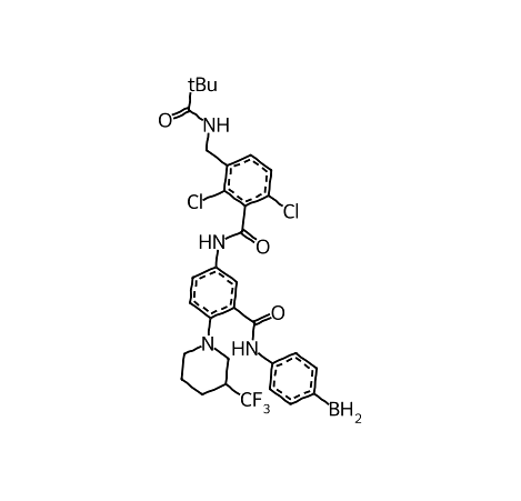 Bc1ccc(NC(=O)c2cc(NC(=O)c3c(Cl)ccc(CNC(=O)C(C)(C)C)c3Cl)ccc2N2CCCC(C(F)(F)F)C2)cc1